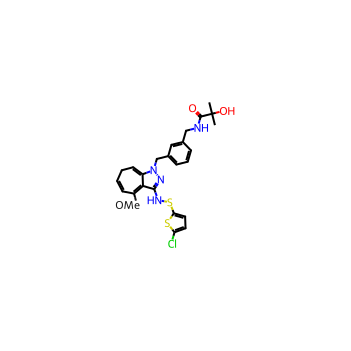 COC1=c2c(NSc3ccc(Cl)s3)nn(Cc3cccc(CNC(=O)C(C)(C)O)c3)c2=CCC=C1